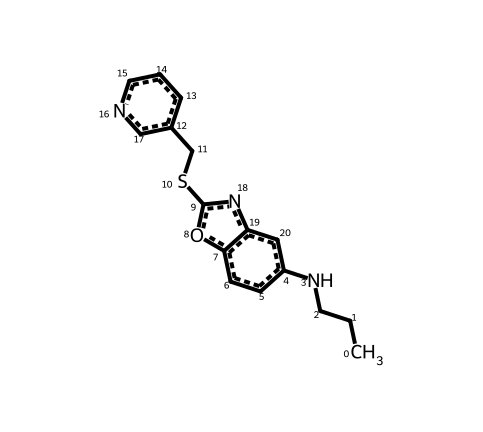 CCCNc1ccc2oc(SCc3cccnc3)nc2c1